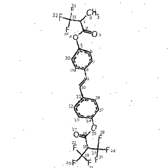 CC(C(=O)Oc1ccc(/C=C/c2ccc(OC(=O)C(C(F)(F)F)C(F)(F)F)cc2)cc1)C(F)(F)F